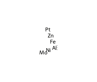 [Al].[Fe].[Mo].[Ni].[Pt].[Zn]